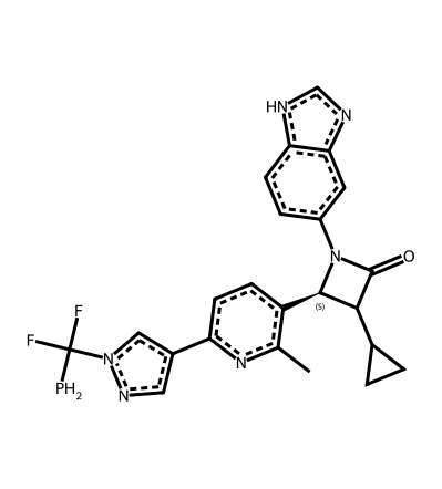 Cc1nc(-c2cnn(C(F)(F)P)c2)ccc1[C@@H]1C(C2CC2)C(=O)N1c1ccc2[nH]cnc2c1